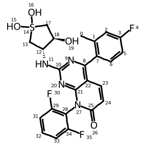 Cc1cc(F)ccc1-c1nc(N[C@@H]2CS(O)(O)C[C@H]2O)nc2c1ccc(=O)n2-c1c(F)cccc1F